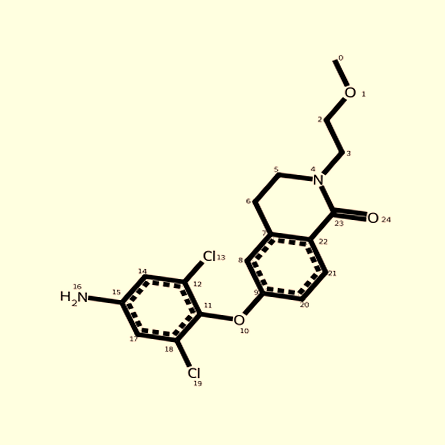 COCCN1CCc2cc(Oc3c(Cl)cc(N)cc3Cl)ccc2C1=O